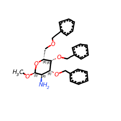 CO[C@H]1O[C@H](COCc2ccccc2)[C@H](OCc2ccccc2)[C@H](OCc2ccccc2)[C@H]1N